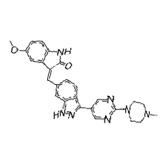 COc1ccc2c(c1)C(=Cc1ccc3c(-c4cnc(N5CCN(C)CC5)nc4)n[nH]c3c1)C(=O)N2